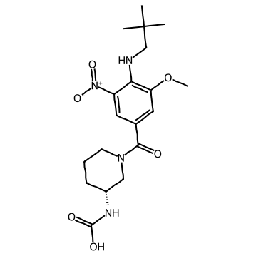 COc1cc(C(=O)N2CCC[C@@H](NC(=O)O)C2)cc([N+](=O)[O-])c1NCC(C)(C)C